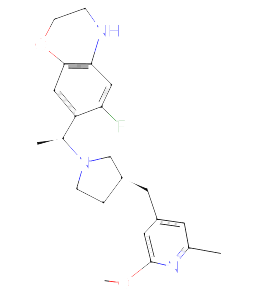 COc1cc(C[C@H]2CCN([C@@H](C)c3cc4c(cc3F)NCCO4)C2)cc(C)n1